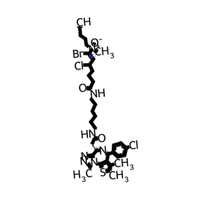 C#CCCC[N+](C)([O-])/C(Br)=C/C(Cl)CCCC(=O)NCCCCCCNC(=O)C[C@@H]1N=C(c2ccc(Cl)cc2)c2c(sc(C)c2C)-n2c(C)nnc21